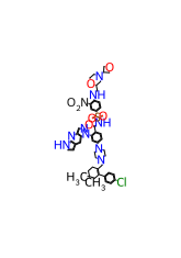 CC1(C)CCC(CN2CCN(c3ccc(C(=O)NS(=O)(=O)c4ccc(NCC5CN(C6COC6)CCO5)c([N+](=O)[O-])c4)c(-n4ncc5nc6[nH]ccc6cc54)c3)CC2)=C(c2ccc(Cl)cc2)C1